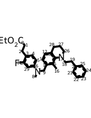 CCOC(=O)CCc1ccc(N(C)Cc2ccc3c(c2C)N(CCc2ccccc2)CCC3)cc1F